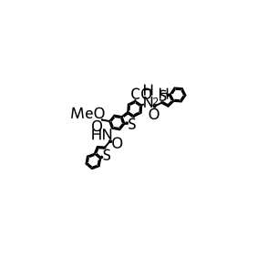 COC(=O)c1cc2c(cc1NC(=O)c1cc3ccccc3s1)sc1cc(NC(=O)c3cc4ccccc4s3)c(C(=O)O)cc12